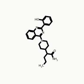 CCCC(C(N)=O)C1CCN(c2nc(-c3ccccc3O)nc3ccccc23)CC1